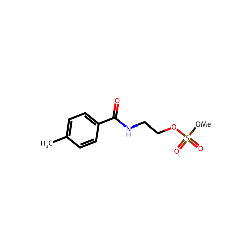 COS(=O)(=O)OCCNC(=O)c1ccc(C)cc1